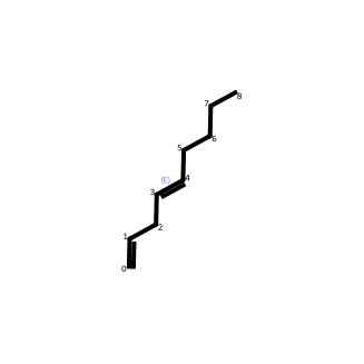 C=CC/[C]=C/CCCC